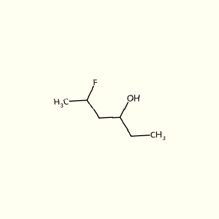 CCC(O)CC(C)F